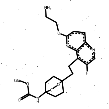 CC(C)(C)OC(=O)NC12CCC(CCc3c(F)cnc4ccc(OCCN)nc34)(CC1)OC2